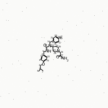 CC(C)COc1ccc(CNC(=O)N(Cc2ccc(F)cc2)C2CCN(CC(N)=O)CC2)cc1